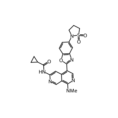 CNc1ncc(-c2nc3cc(N4CCCS4(=O)=O)ccc3o2)c2cc(NC(=O)C3CC3)ncc12